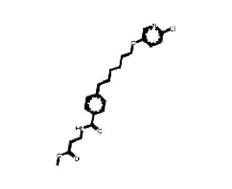 COC(=O)CCNC(=O)c1ccc(CCCCCCOc2ccc(Cl)nc2)cc1